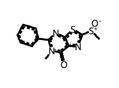 Cn1c(-c2ccccc2)nc2sc([S+](C)[O-])nc2c1=O